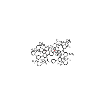 Cc1cc2c3c(c1)N1c4c(cc(-c5ccc(Cc6cc7c8c(c6)N6c9c(cc(-c%10ccccc%10)cc9C9(C)CCCCC69C)B8c6c(oc8cc9c(cc68)C(C)(C)CCC9(C)C)N7c6ccc(C(C)(C)C)cc6-c6ccccc6)cc5)cc4C4(C)CCCCC14C)B3c1oc3cc4c(cc3c1N2c1ccc(C(C)(C)C)cc1)C(C)(C)CCC4(C)C